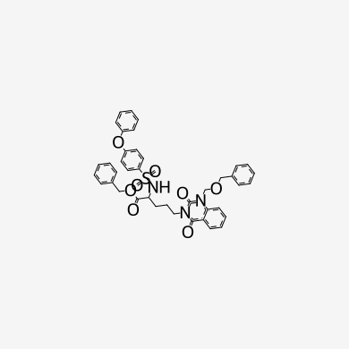 O=C(OCc1ccccc1)C(CCCn1c(=O)c2ccccc2n(COCc2ccccc2)c1=O)NS(=O)(=O)c1ccc(Oc2ccccc2)cc1